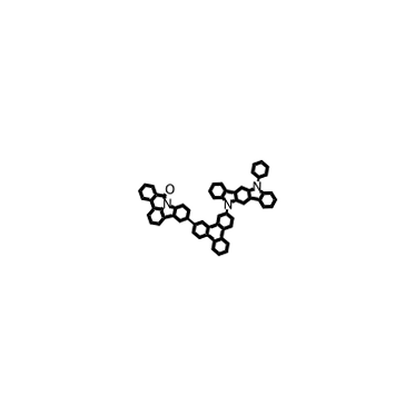 O=c1c2ccccc2c2cccc3c4cc(-c5ccc6c7ccccc7c7ccc(-n8c9ccccc9c9cc%10c(cc98)c8ccccc8n%10-c8ccccc8)cc7c6c5)ccc4n1c23